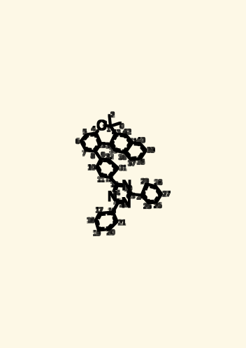 CC1(C)Oc2cccc(-c3ccc(-c4nc(-c5ccccc5)nc(-c5ccccc5)n4)cc3)c2-c2cc3ccccc3cc21